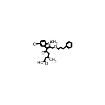 CC(CC(=O)O)CC(=O)c1c(COCCCc2ccccc2)n(C)c2ccc(Cl)cc12